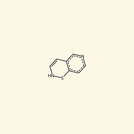 C1=Cc2cnccc2SN1